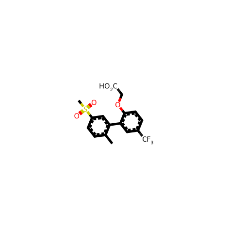 Cc1ccc(S(C)(=O)=O)cc1-c1cc(C(F)(F)F)ccc1OCC(=O)O